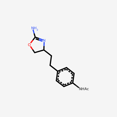 CC(=O)Nc1ccc(CCC2COC(N)=N2)cc1